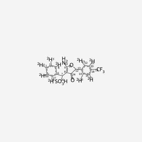 [2H]c1c([2H])c([2H])c(C(C2=C(N)OC(c3c([2H])c([2H])c(C(F)(F)F)c([2H])c3[2H])C2=O)S(=O)(=O)O)c([2H])c1[2H]